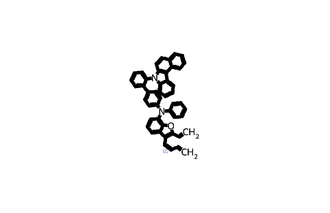 C=C/C=C\c1c(C=C)oc2c(N(c3ccccc3)c3ccc(-c4ccccc4-n4c5ccccc5c5c6ccccc6ccc54)cc3)cccc12